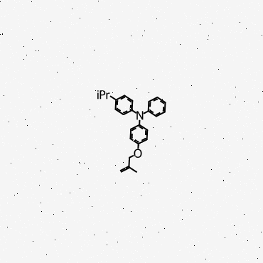 C=C(C)COc1ccc(N(c2ccccc2)c2ccc(C(C)C)cc2)cc1